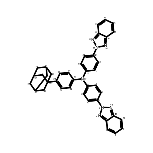 c1ccc2nn(-c3ccc(N(c4ccc(-n5nc6ccccc6n5)cc4)c4ccc(C56CC7CC(CC(C7)C5)C6)cc4)cc3)nc2c1